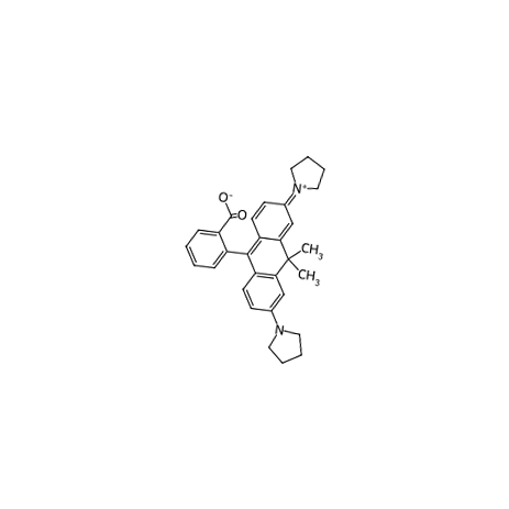 CC1(C)C2=CC(=[N+]3CCCC3)C=CC2=C(c2ccccc2C(=O)[O-])c2ccc(N3CCCC3)cc21